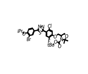 CC(C)Oc1ccc(-c2nnc(-c3cc(F)c(OCC4COC(C)(C)N4C(=O)OC(C)(C)C)cc3Cl)s2)cc1Br